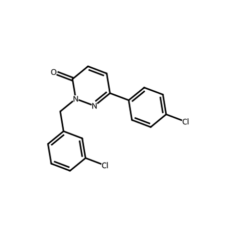 O=c1ccc(-c2ccc(Cl)cc2)nn1Cc1cccc(Cl)c1